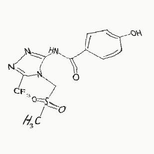 CS(=O)(=O)Cn1c(NC(=O)c2ccc(O)cc2)nnc1C(F)(F)F